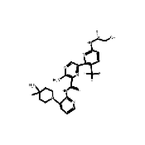 C[C@H](CO)Nc1ccc(C(F)(F)F)c(-c2cnc(N)c(C(=O)Nc3ncccc3N3CCC(C)(N)CC3)n2)n1